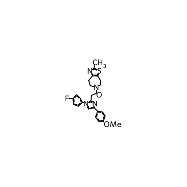 COc1ccc(-c2cn(-c3ccc(F)cc3)c(CC(=O)N3CCc4nc(C)sc4CC3)n2)cc1